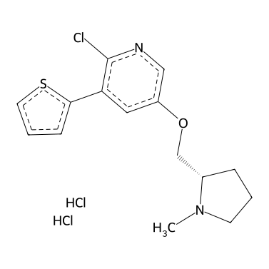 CN1CCC[C@H]1COc1cnc(Cl)c(-c2cccs2)c1.Cl.Cl